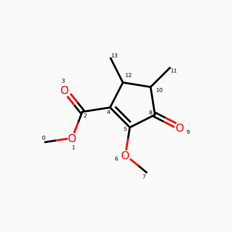 COC(=O)C1=C(OC)C(=O)C(C)C1C